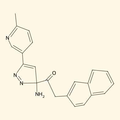 Cc1ccc(C2=CC(N)(C(=O)Cc3ccc4ccccc4c3)N=N2)cn1